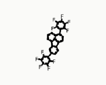 Fc1c(F)c(F)c(-c2ccc3c(c2)-c2cccc4c(-c5c(F)c(F)c(F)c(F)c5F)ccc-3c24)c(F)c1F